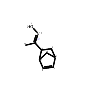 C/C(=N\O)C1CC2C=CC1C2